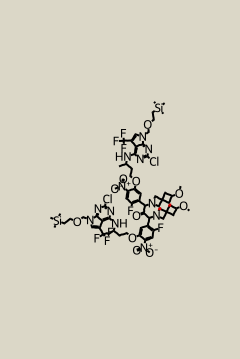 COC1CC2(C1)CN(C(C(=O)C(c1cc(OCCC(C)Nc3nc(Cl)nc4c3c(C(F)(F)F)cn4COCC[Si](C)(C)C)c([N+](=O)[O-])cc1F)N1CC3(CC(OC)C3)C1)c1cc(OCCC(C)Nc3nc(Cl)nc4c3c(C(F)(F)F)cn4COCC[Si](C)(C)C)c([N+](=O)[O-])cc1F)C2